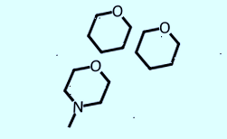 C1CCOCC1.C1CCOCC1.CN1CCOCC1